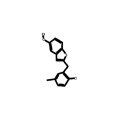 CCOc1ccc2sc(Cc3cc(C)ccc3Cl)cc2c1